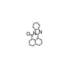 O=c1c2cccc3cccc(c32)c2nc3ccccc3n12